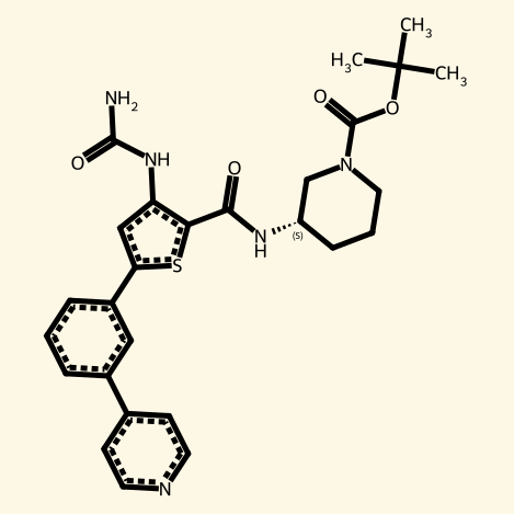 CC(C)(C)OC(=O)N1CCC[C@H](NC(=O)c2sc(-c3cccc(-c4ccncc4)c3)cc2NC(N)=O)C1